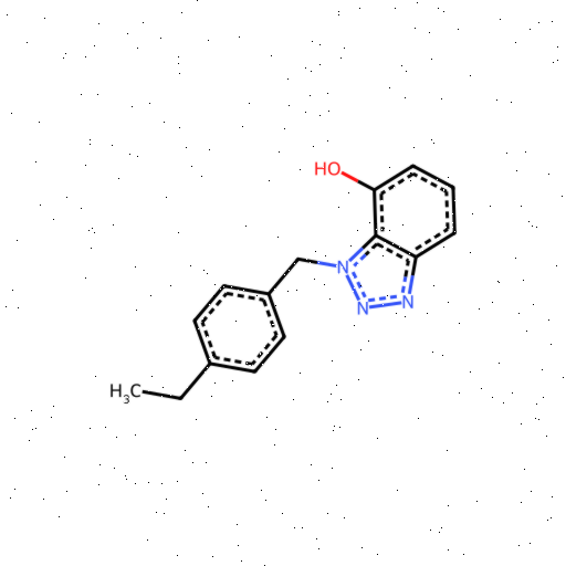 CCc1ccc(Cn2nnc3cccc(O)c32)cc1